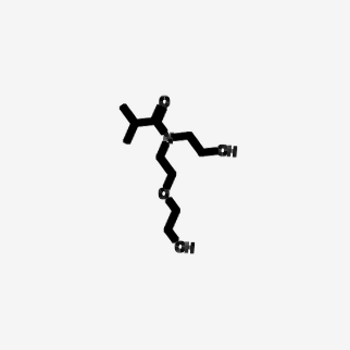 CC(C)C(=O)N(CCO)CCOCCO